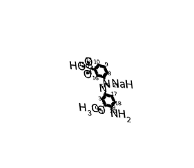 COc1cc(/N=N/c2cccc(S(=O)(=O)O)c2)ccc1N.[NaH]